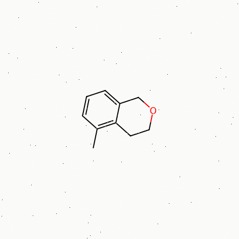 Cc1cccc2c1CCOC2